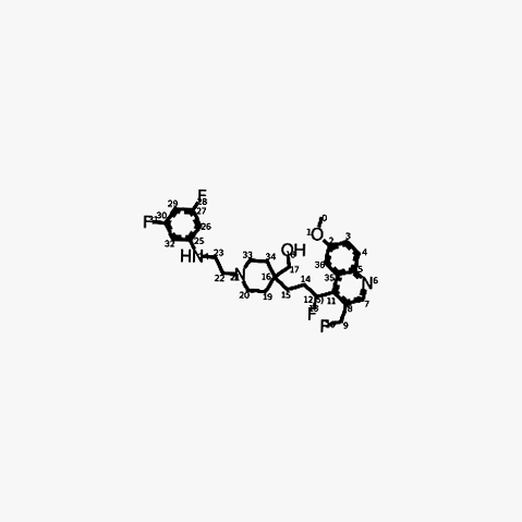 COc1ccc2ncc(CF)c([C@@H](F)CCC3(CO)CCN(CCNc4cc(F)cc(F)c4)CC3)c2c1